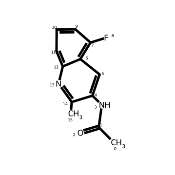 CC(=O)Nc1cc2c(F)cccc2nc1C